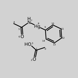 CC(=O)O.CC(=O)[NH][Hg][c]1ccccc1